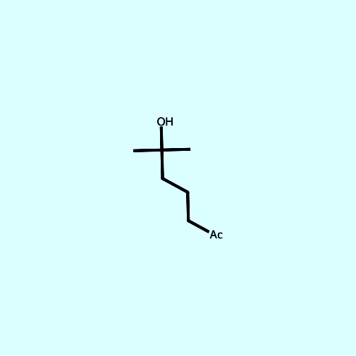 CC(=O)CCCC(C)(C)O